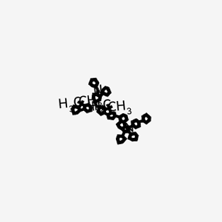 CC1(C)c2ccccc2-c2ccc(N(c3ccc4c(c3)C(C)(C)c3cc(-c5cccc6c5ccc5c(-c7ccccc7)c(-c7ccccc7)n(-c7ccc(-c8ccccc8)cc7)c56)ccc3-4)c3ccc4c(c3)c3ccccc3n4-c3ccccc3)cc21